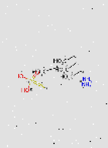 CC(=O)O.CC(=O)O.CC(=O)O.CC(=O)O.N.N.O=S(O)(O)=S